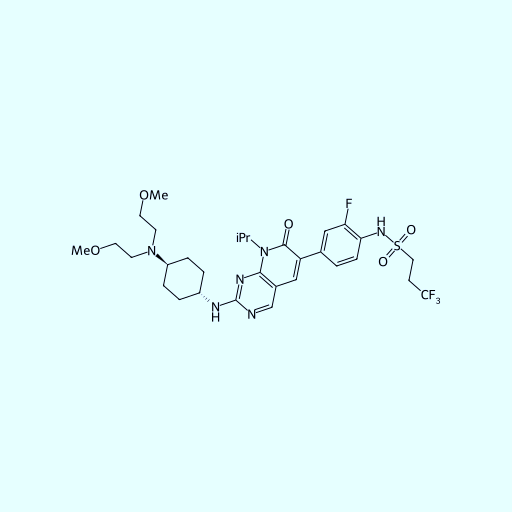 COCCN(CCOC)[C@H]1CC[C@H](Nc2ncc3cc(-c4ccc(NS(=O)(=O)CCC(F)(F)F)c(F)c4)c(=O)n(C(C)C)c3n2)CC1